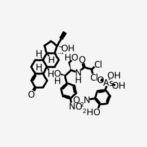 C#C[C@]1(O)CC[C@H]2[C@@H]3CCC4=CC(=O)CC[C@@H]4[C@H]3CC[C@@]21C.O=C(N[C@H](CO)[C@H](O)c1ccc([N+](=O)[O-])cc1)C(Cl)Cl.O=[N+]([O-])c1cc([As](=O)(O)O)ccc1O